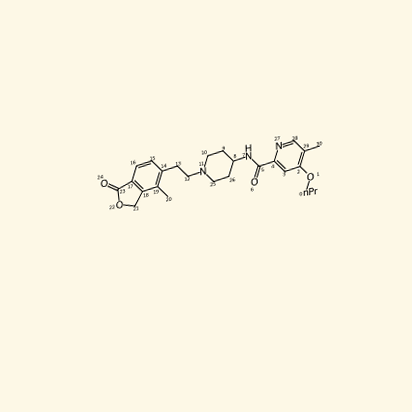 CCCOc1cc(C(=O)NC2CCN(CCc3ccc4c(c3C)COC4=O)CC2)ncc1C